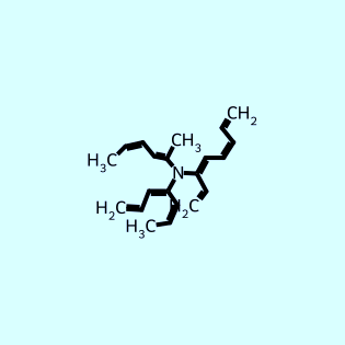 C=C/C=C\C=C(/C=C)N(/C(C)=C/C=C\C)C(/C=C\C)=C/C=C